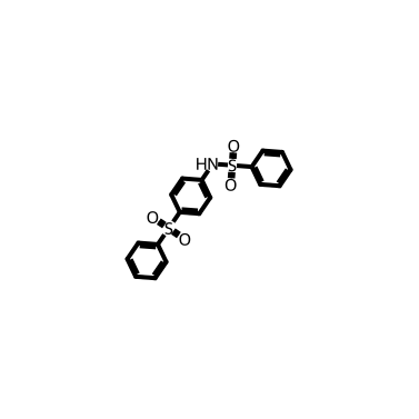 O=S(=O)(Nc1ccc(S(=O)(=O)c2ccccc2)cc1)c1ccccc1